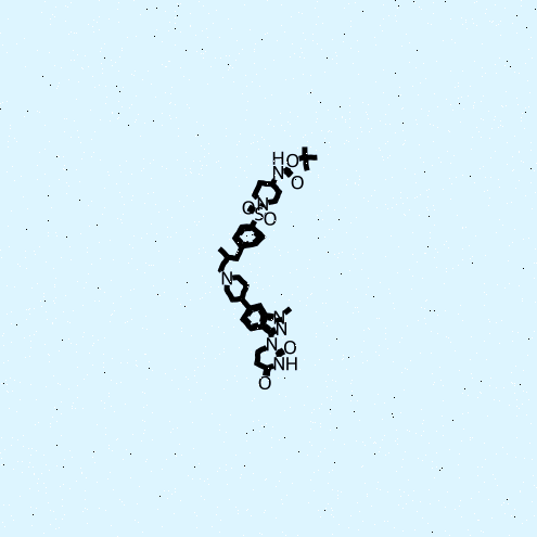 CC(Cc1ccc(S(=O)(=O)N2CCC(NC(=O)OC(C)(C)C)CC2)cc1)CN1CCC(c2ccc3c(N4CCC(=O)NC4=O)nn(C)c3c2)CC1